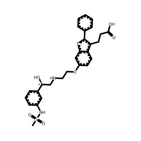 CS(=O)(=O)Nc1cccc([C@@H](O)CNCCOc2ccc3c(CCC(=O)O)c(-c4ccccc4)sc3c2)c1